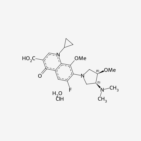 COc1c(N2C[C@@H](OC)[C@@H](N(C)C)C2)c(F)cc2c(=O)c(C(=O)O)cn(C3CC3)c12.Cl.O